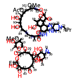 CC[C@H]1OC(=O)[C@H](C)[C@@H](O[C@H]2C[C@@](C)(OC)[C@@H](O)[C@H](C)O2)[C@H](C)[C@@H](O[C@@H]2O[C@H](C)C[C@H](N(C)C)[C@H]2O)[C@](C)(O)C[C@@H](C)C(=O)[C@H](C)[C@@H](O)[C@]1(C)O.CO[C@H]1/C=C/O[C@@]2(C)Oc3c(C)c(O)c4c(c3C2=O)C2=NC3(CCN(CC(C)C)CC3)NC2=C(NC(=O)/C(C)=C\C=C\[C@H](C)[C@H](O)[C@@H](C)[C@@H](O)[C@@H](C)[C@H](OC(C)=O)[C@@H]1C)C4=O